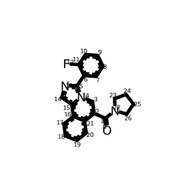 O=C(c1cn2c(-c3ccccc3F)ncc2c2ccccc12)N1CCCC1